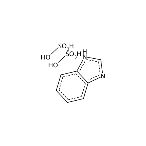 O=S(=O)(O)O.O=S(=O)(O)O.c1ccc2[nH]cnc2c1